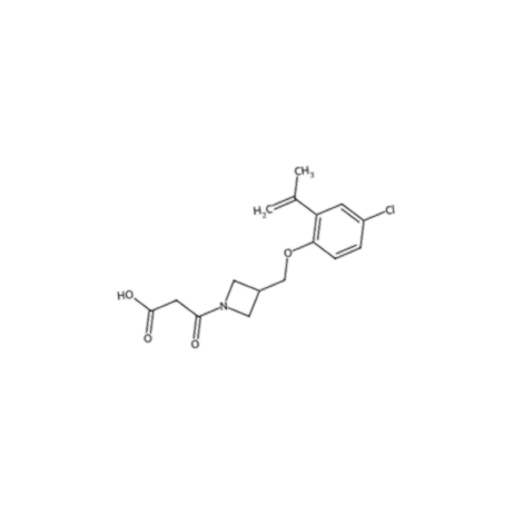 C=C(C)c1cc(Cl)ccc1OCC1CN(C(=O)CC(=O)O)C1